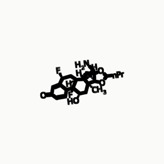 CCCC1O[C@@H]2C[C@H]3[C@@H]4C[C@H](F)C5=CC(=O)C=CC5[C@@]4(F)[C@@H](O)C[C@]3(C)[C@]2(C(=O)CN)O1